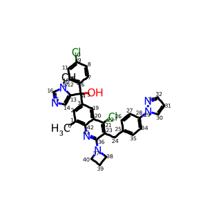 Cc1cc(C(O)(c2ccc(Cl)cc2)c2cncn2C)cc2c(Cl)c(Cc3ccc(-n4cccn4)cc3)c(N3CCC3)nc12